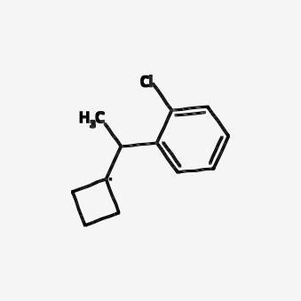 CC([C]1CCC1)c1ccccc1Cl